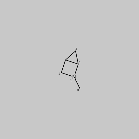 CN1CC2CC21